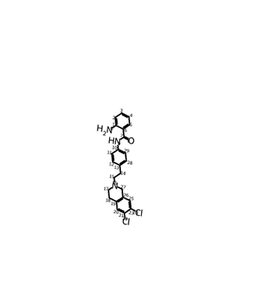 Nc1ccccc1C(=O)Nc1ccc(CCN2CCc3cc(Cl)c(Cl)cc3C2)cc1